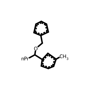 [CH2]CCC(OCc1ccccc1)c1cccc(C)c1